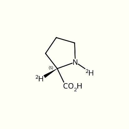 [2H]N1CCC[C@@]1([2H])C(=O)O